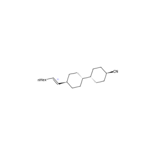 CCCCCC/C=C/[C@H]1CC[C@H]([C@H]2CC[C@H](C#N)CC2)CC1